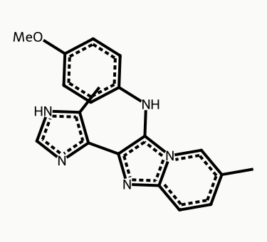 COc1ccc(Nc2c(-c3nc[nH]c3C)nc3ccc(C)cn23)cc1